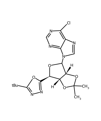 CC1(C)O[C@@H]2[C@@H](c3nnc(C(C)(C)C)o3)OC(n3cnc4c(Cl)ncnc43)[C@@H]2O1